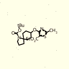 CCOC(=O)c1sc(C)nc1OC1CCC2(CCCN2C(=O)OC(C)(C)C)CC1